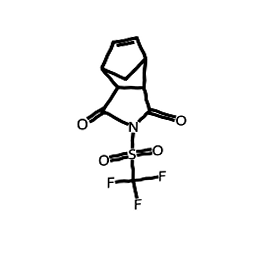 O=C1C2C3C=CC(C3)C2C(=O)N1S(=O)(=O)C(F)(F)F